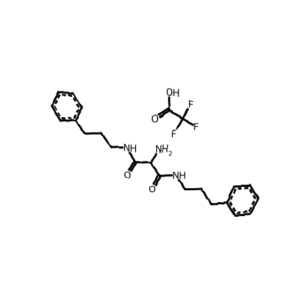 NC(C(=O)NCCCc1ccccc1)C(=O)NCCCc1ccccc1.O=C(O)C(F)(F)F